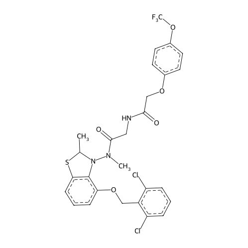 CC1Sc2cccc(OCc3c(Cl)cccc3Cl)c2N1N(C)C(=O)CNC(=O)COc1ccc(OC(F)(F)F)cc1